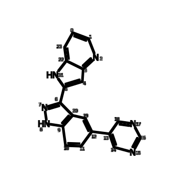 c1cnc2cc(-c3n[nH]c4ccc(-c5cncnc5)cc34)[nH]c2c1